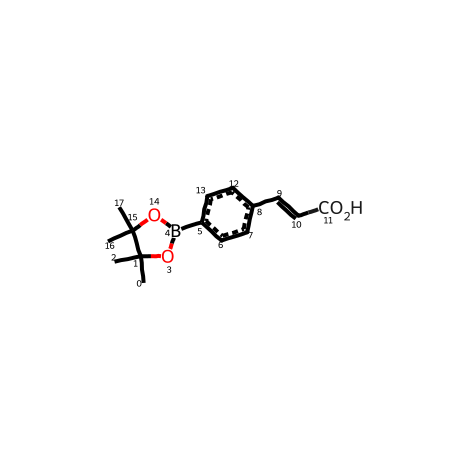 CC1(C)OB(c2ccc(C=CC(=O)O)cc2)OC1(C)C